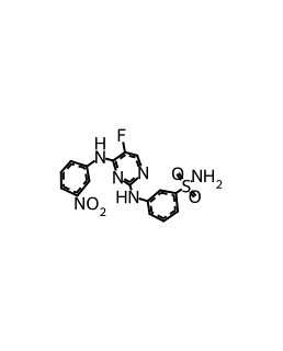 NS(=O)(=O)c1cccc(Nc2ncc(F)c(Nc3cccc([N+](=O)[O-])c3)n2)c1